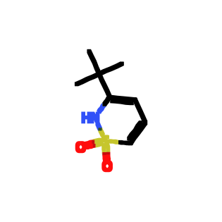 CC(C)(C)C1=CC=CS(=O)(=O)N1